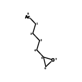 CC(=O)CCCCC1CO1